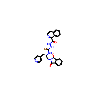 O=C(NNC(=S)N[C@H](Cc1ccncc1)CN1C(=O)c2ccccc2C1=O)c1nccc2c[c]ccc12